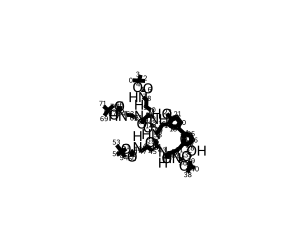 CC(C)(C)OC(=O)NCCC[C@H](NC(=O)[C@@H]1Cc2cc(ccc2O)-c2ccc(O)c(c2)C[C@H](NC(=O)OC(C)(C)C)C(=O)N[C@@H](CCCNC(=O)OC(C)(C)C)C(=O)N1)C(=O)NCCNC(=O)OC(C)(C)C